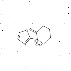 CN[C@]1(c2nccs2)CCCCC1=O